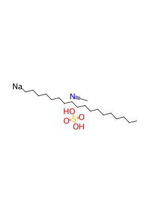 CC#N.CCCCCCCCCCCCCCCCC[CH2][Na].O=S(=O)(O)O